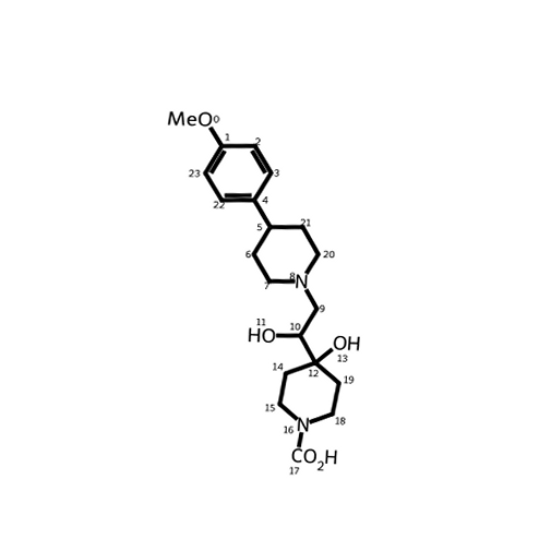 COc1ccc(C2CCN(CC(O)C3(O)CCN(C(=O)O)CC3)CC2)cc1